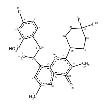 Cc1cc(C(C)Nc2ccc(Cl)nc2C(=O)O)c2oc(C3CCC(F)(F)CC3)c(C)c(=O)c2c1